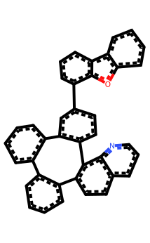 c1ccc2c(c1)-c1ccccc1-c1ccc3cccnc3c1-c1ccc(-c3cccc4c3oc3ccccc34)cc1-2